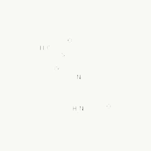 CS(=O)(=O)c1cc[c]c(C(N)=O)n1